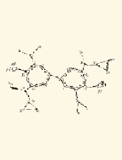 CC(C)c1cc(-c2cc(C(C)C)c(O)c([C@H](C)C3CC3)c2)cc([C@H](C)C2CC2)c1O